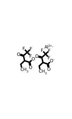 CCC(C(=O)[O-])C(=O)C(F)(F)F.CCC(C(=O)[O-])C(=O)C(F)(F)F.[Al+2]